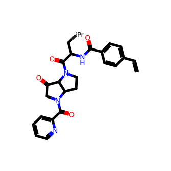 C=Cc1ccc(C(=O)NC(CC(C)C)C(=O)N2CCC3C2C(=O)CN3C(=O)c2ccccn2)cc1